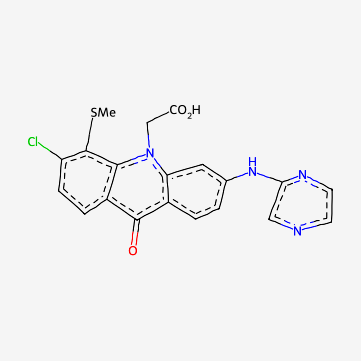 CSc1c(Cl)ccc2c(=O)c3ccc(Nc4cnccn4)cc3n(CC(=O)O)c12